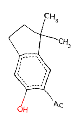 CC(=O)c1cc2c(cc1O)CCC2(C)C